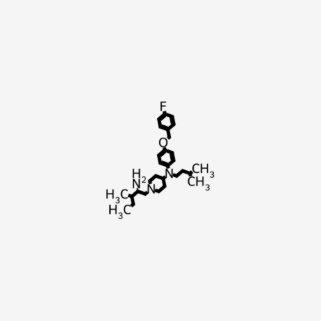 CCC(C)[C@H](N)CN1CCC(N(CCC(C)C)c2ccc(OCc3ccc(F)cc3)cc2)CC1